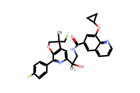 N#CC1(CF)COc2c1cc(C(O)(CNC(=O)c1cc(OC3CC3)c3ncccc3c1)C(F)(F)F)nc2-c1ccc(F)cc1